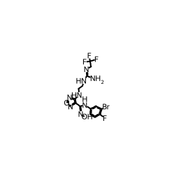 N/C(=N\CC(F)(F)F)NCCNc1nonc1/C(=N/O)Nc1ccc(F)c(Br)c1